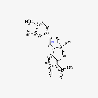 Cc1ccc(/C=C/C(c2ccc(Cl)c([N+](=O)[O-])c2)C(F)(F)F)cc1Br